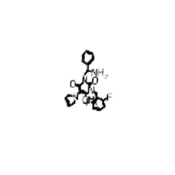 Cc1c(N2CC=CC2)c(=O)n(C[C@H](N)c2ccccc2)c(=O)n1Cc1c(F)cccc1F